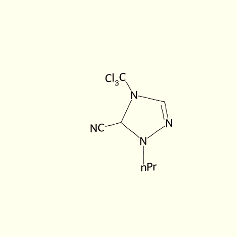 CCCN1N=CN(C(Cl)(Cl)Cl)C1C#N